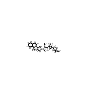 CC(=O)[C@@]1(C)CSC(C(C)(C)[C@H](O)C2CSC([C@H]3CSC(c4ccc5ccccc5c4O)=N3)N2)=N1